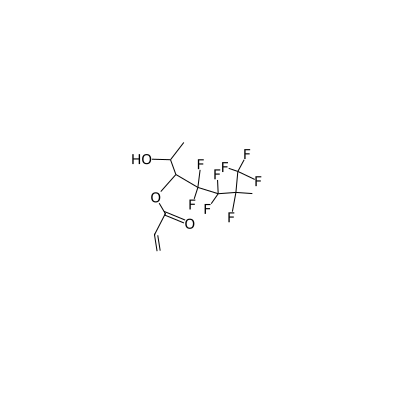 C=CC(=O)OC(C(C)O)C(F)(F)C(F)(F)C(C)(F)C(F)(F)F